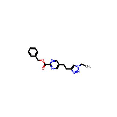 CCn1cc(CCc2cnc(C(=O)OCc3ccccc3)nc2)nn1